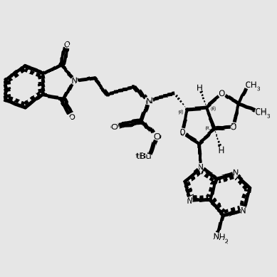 CC(C)(C)OC(=O)N(CCCN1C(=O)c2ccccc2C1=O)C[C@H]1OC(n2cnc3c(N)ncnc32)[C@@H]2OC(C)(C)O[C@H]12